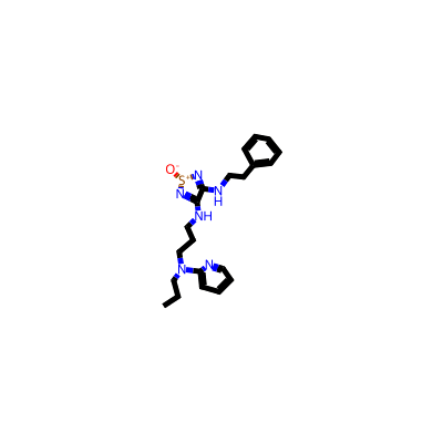 CCCN(CCCNc1n[s+]([O-])nc1NCCc1ccccc1)c1ccccn1